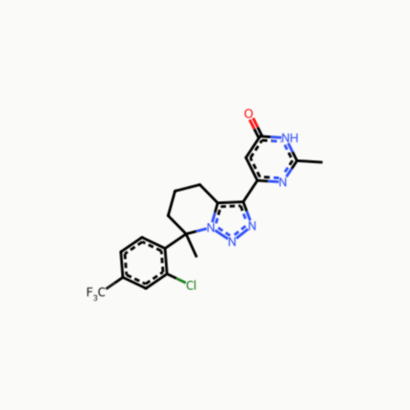 Cc1nc(-c2nnn3c2CCCC3(C)c2ccc(C(F)(F)F)cc2Cl)cc(=O)[nH]1